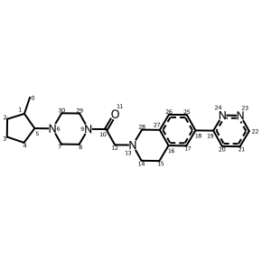 CC1CCCC1N1CCN(C(=O)CN2CCc3cc(-c4cccnn4)ccc3C2)CC1